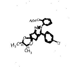 COc1ccccc1-n1nc2c(c1-c1ccc(Cl)cc1)CC1(C2)O[C@H](C)[C@@H](C)O1